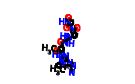 CC[C@@H]1c2c(C#N)ncn2-c2cnc(Nc3ccc(C(=O)NCCNc4cccc5c4CN(C4CCC(=O)NC4=O)C5=O)cc3OC)nc2N1C1CCCC1